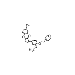 COc1cc(N2CC[C@H](Oc3ccc(C4CC4)cc3)C2=O)ccc1OCCN1CCOCC1